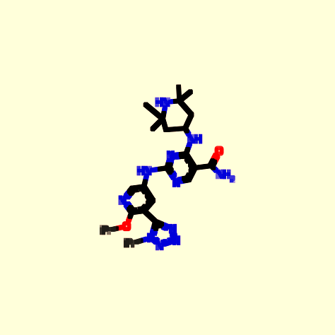 CC(C)Oc1ncc(Nc2ncc(C(N)=O)c(NC3CC(C)(C)NC(C)(C)C3)n2)cc1-c1nnnn1C(C)C